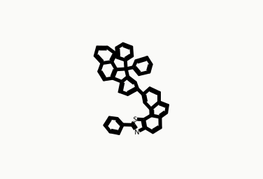 c1ccc(-c2nc3ccc4ccc5ccc(-c6ccc7c(c6)C(c6ccccc6)(c6ccccc6)c6c-7ccc7ccccc67)cc5c4c3s2)cc1